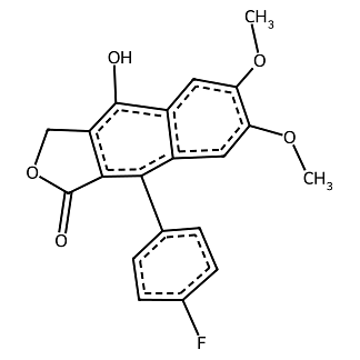 COc1cc2c(O)c3c(c(-c4ccc(F)cc4)c2cc1OC)C(=O)OC3